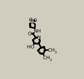 Cc1ccc(-c2cnc(C(=O)NC3C=CS(=O)(=O)C3)cc2O)cc1C